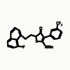 CNC1=C(c2cccc(C(F)(F)F)c2)C(=O)C(CCc2cccc3cccc(F)c23)S1